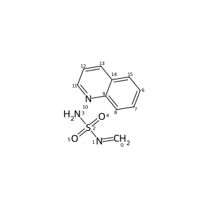 C=NS(N)(=O)=O.c1ccc2ncccc2c1